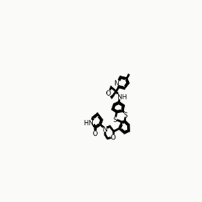 Cc1ccc(C2(Nc3ccc4c(c3)Sc3cccc(C5CN(c6ccc[nH]c6=O)CCO5)c3S4)COC2)nc1